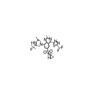 Cc1nc(-c2nnc(C(F)F)s2)c2cc(S(=O)(=O)NC3(C)CC3)cc(N3C[C@H](C)N[C@@H](C(C)(C)F)C3)c2n1